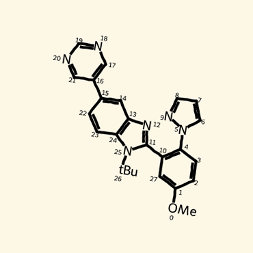 COc1ccc(-n2cccn2)c(-c2nc3cc(-c4cncnc4)ccc3n2C(C)(C)C)c1